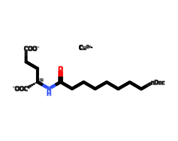 CCCCCCCCCCCCCCCCCC(=O)N[C@@H](CCC(=O)[O-])C(=O)[O-].[Cu+2]